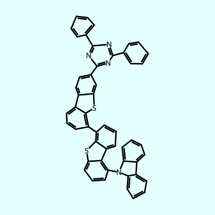 c1ccc(-c2nc(-c3ccccc3)nc(-c3ccc4c(c3)sc3c(-c5cccc6c5sc5cccc(-n7c8ccccc8c8ccccc87)c56)cccc34)n2)cc1